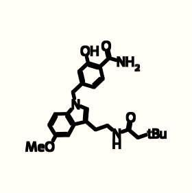 COc1ccc2c(c1)c(CCNC(=O)CC(C)(C)C)cn2Cc1ccc(C(N)=O)c(O)c1